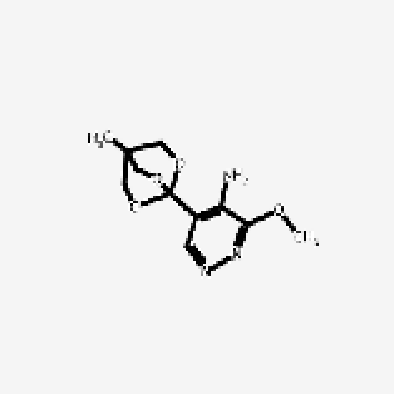 COc1nncc(C23OCC(C)(CO2)CO3)c1N